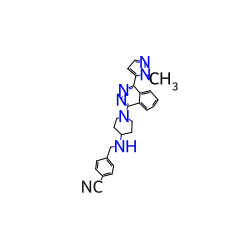 Cn1nccc1-c1nnc(N2CCC(NCc3ccc(C#N)cc3)CC2)c2ccccc12